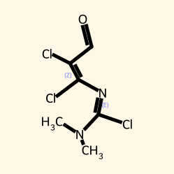 CN(C)/C(Cl)=N\C(Cl)=C(\Cl)C=O